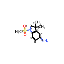 CC1(C)CN(S(C)(=O)=O)c2ccc(N)cc21